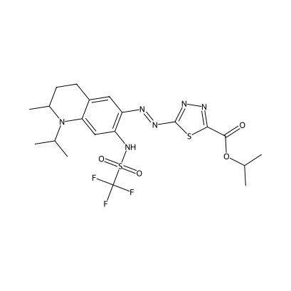 CC(C)OC(=O)c1nnc(N=Nc2cc3c(cc2NS(=O)(=O)C(F)(F)F)N(C(C)C)C(C)CC3)s1